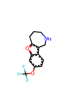 FC(F)(F)Oc1ccc2c3c(oc2c1)CCCNC3